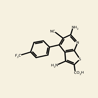 N#Cc1c(N)nc2sc(C(=O)O)c(N)c2c1-c1ccc(C(F)(F)F)cc1